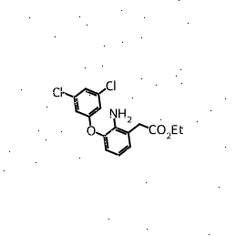 CCOC(=O)Cc1cccc(Oc2cc(Cl)cc(Cl)c2)c1N